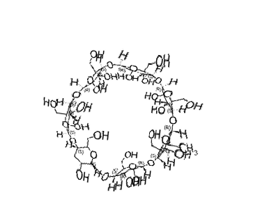 CC1[C@@H]2OC(CO)[C@@H](O[C@H]3OC(CO)[C@@H](O[C@H]4OC(CO)[C@H](CC4O)O[C@H]4OC(CO)[C@@H](O[C@H]5OC(CO)[C@@H](O[C@H]6OC(CO)[C@@H](O[C@H]7OC(CO)[C@@H](O2)[C@H](O)C7O)[C@H](O)C6O)[C@H](O)C5O)[C@H](O)C4O)[C@H](O)C3O)[C@@H]1O